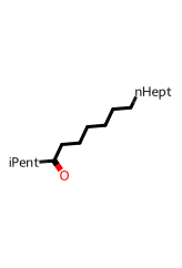 CCCCCCCCCCCCCC(=O)C(C)CCC